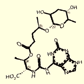 CC1O[C@H](O[C@H](C)CCC(=O)O[C@H](C)[C@H](NC(=O)Nc2[nH]c(=O)nc3[nH]cnc23)C(=O)O)C(O)C[C@@H]1O